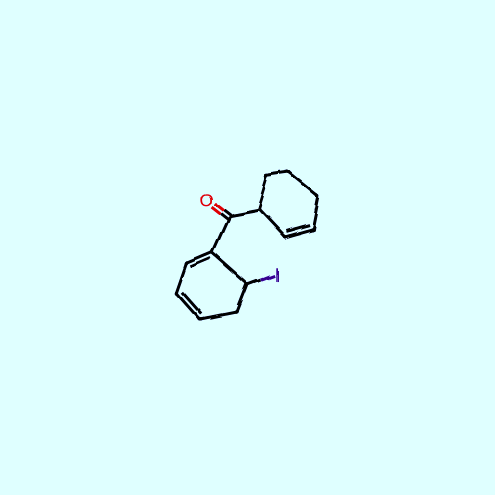 O=C(C1=CC=CCC1I)C1C=CCCC1